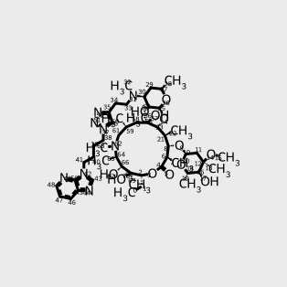 CC[C@H]1OC(=O)[C@H](C)[C@@H](O[C@H]2C[C@@](C)(OC)[C@@H](O)[C@H](C)O2)[C@H](C)[C@@H](O[C@@H]2O[C@H](C)C[C@H](N(C)CCc3cn(CCCCn4cnc5cccnc54)nn3)[C@H]2O)[C@](C)(O)C[C@@H](C)CN(C)[C@H](C)[C@@H](O)[C@]1(C)O